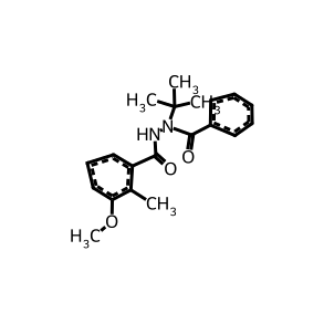 COc1cccc(C(=O)NN(C(=O)c2ccccc2)C(C)(C)C)c1C